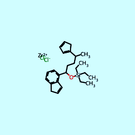 CC[Si](CC)(CC)OC(CCC(C)C1=CC=CC1)c1cccc2c1C=CC2.[Cl-].[Cl-].[Zr+2]